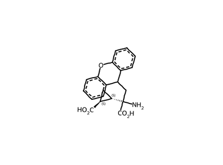 NC(CC1c2ccccc2Oc2ccccc21)(C(=O)O)[C@H]1C[C@@H]1C(=O)O